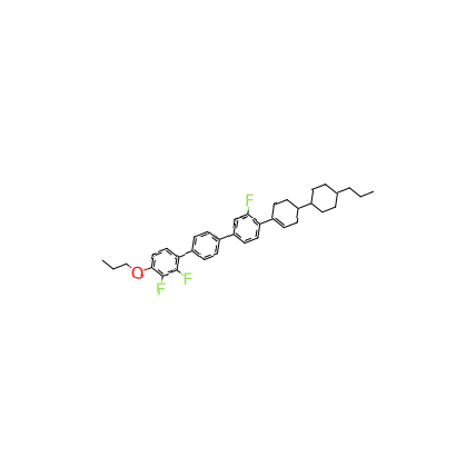 CCCOc1ccc(-c2ccc(-c3ccc(C4=CCC(C5CCC(CCC)CC5)CC4)c(F)c3)cc2)c(F)c1F